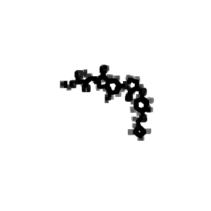 CN(C)C(=O)CN1Cc2c(F)cc(N3CC[C@@H](Oc4ccc(OCC5CCC5)nc4)C3=O)cc2C1=O